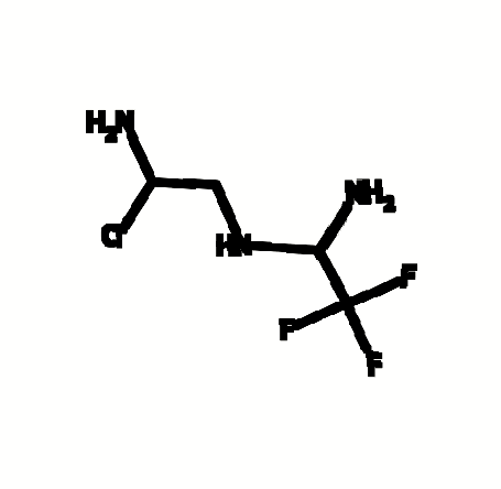 NC(Cl)CNC(N)C(F)(F)F